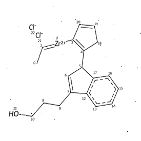 C[CH]=[Zr+2][C]1=C(C2C=C(CCCO)c3ccccc32)CC=C1.[Cl-].[Cl-]